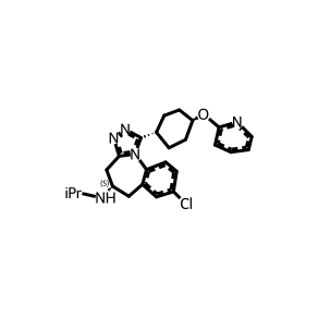 CC(C)N[C@H]1Cc2cc(Cl)ccc2-n2c(nnc2[C@H]2CC[C@H](Oc3ccccn3)CC2)C1